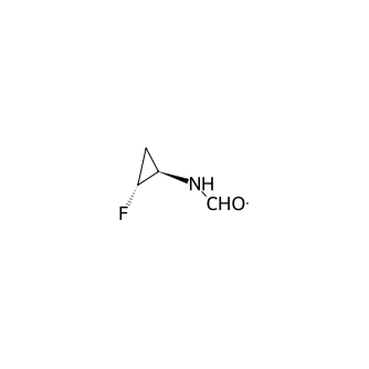 O=[C]N[C@@H]1C[C@H]1F